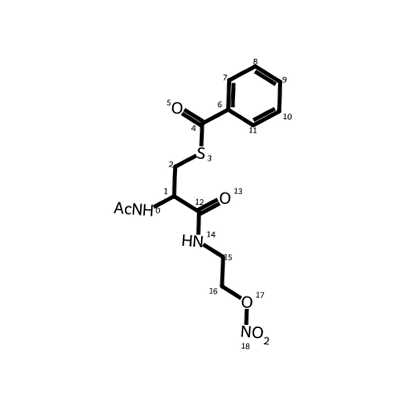 CC(=O)NC(CSC(=O)c1ccccc1)C(=O)NCCO[N+](=O)[O-]